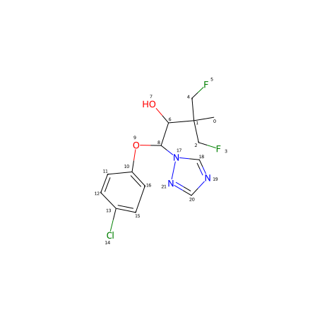 CC(CF)(CF)C(O)C(Oc1ccc(Cl)cc1)n1cncn1